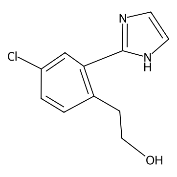 OCCc1ccc(Cl)cc1-c1ncc[nH]1